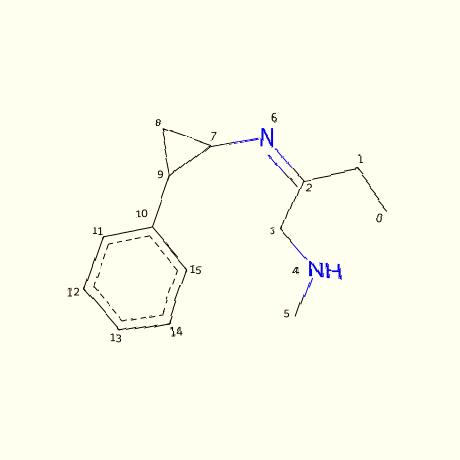 CCC(CNC)=NC1CC1c1ccccc1